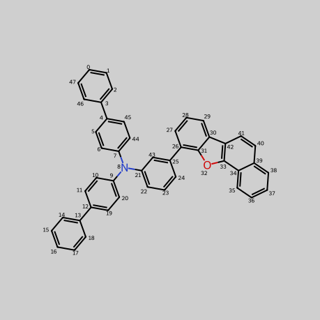 c1ccc(-c2ccc(N(c3ccc(-c4ccccc4)cc3)c3cccc(-c4cccc5c4oc4c6ccccc6ccc54)c3)cc2)cc1